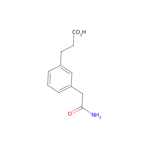 NC(=O)Cc1cccc(CCC(=O)O)c1